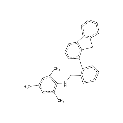 Cc1cc(C)c(NCc2ccccc2-c2cccc3c2Cc2ccccc2-3)c(C)c1